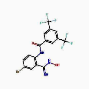 N=C(NO)c1cc(Br)ccc1NC(=O)c1cc(C(F)(F)F)cc(C(F)(F)F)c1